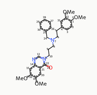 COc1ccc(CCN(CCCn2cnc3cc(OC)c(OC)cc3c2=O)Cc2ccccc2)cc1OC